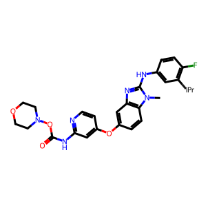 CC(C)c1cc(Nc2nc3cc(Oc4ccnc(NC(=O)ON5CCOCC5)c4)ccc3n2C)ccc1F